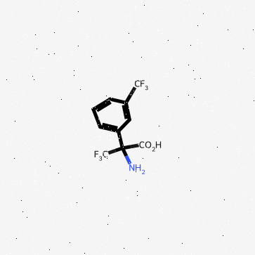 NC(C(=O)O)(c1cccc(C(F)(F)F)c1)C(F)(F)F